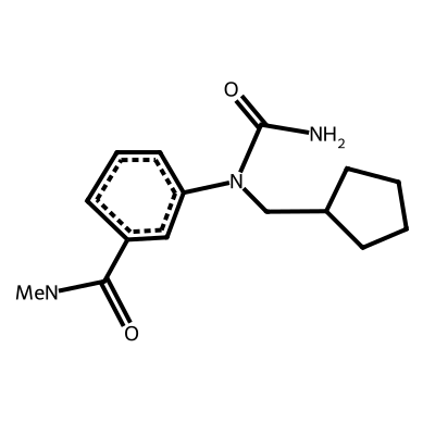 CNC(=O)c1cccc(N(CC2CCCC2)C(N)=O)c1